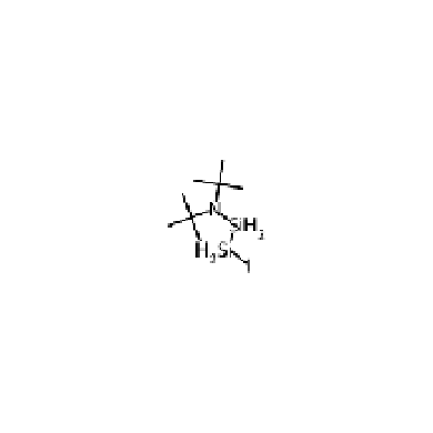 CC(C)(C)N([SiH2][SiH2]I)C(C)(C)C